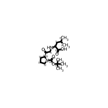 CC(C)CC(NCC(=O)[C@@H]1CCCN1C(=O)OC(C)(C)C)C(=O)O